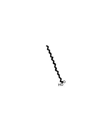 CCCCC=CCC=CCC=CCC=CCC=CCCCC(=O)O